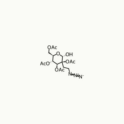 CC(=O)OC[C@H]1O[C@H](O)[C@@](CCN=[N+]=[N-])(OC(C)=O)[C@@H](OC(C)=O)[C@@H]1OC(C)=O